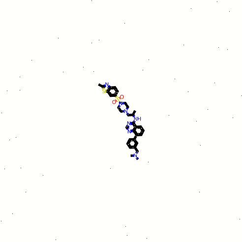 Cc1nc2ccc(S(=O)(=O)N3CCN(CC(C)Nc4ncnc5c(-c6cccc(CN(C)C)c6)cccc45)CC3)cc2s1